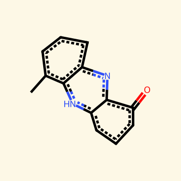 Cc1cccc2nc3c(=O)cccc-3[nH]c12